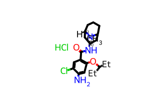 CCC(CC)Oc1cc(N)c(Cl)cc1C(=O)N[C@@H]1CC2CCC[C@@H](C1)N2C.Cl